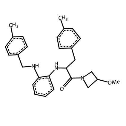 COC1CN(C(=O)C(Cc2ccc(C)cc2)Nc2ccccc2NCc2ccc(C)cc2)C1